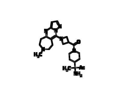 CC(=O)C(C)(N)C1CCN(C(=O)C2CN(c3c4c(nc5ccnn35)CCN(C)CC4)C2)CC1